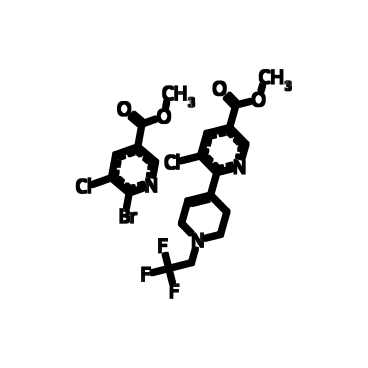 COC(=O)c1cnc(Br)c(Cl)c1.COC(=O)c1cnc(C2=CCN(CC(F)(F)F)CC2)c(Cl)c1